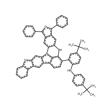 CC(C)(C)c1ccc(Nc2ccc(C(C)(C)C)cc2-c2ccc3c4cc5c(cc4n4c3c2Bc2cc3c(-c6ccccc6)oc(-c6ccccc6)c3cc2-4)sc2ccccc25)cc1